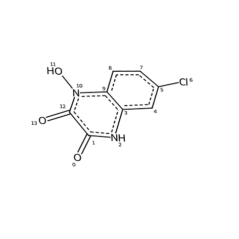 O=c1[nH]c2cc(Cl)ccc2n(O)c1=O